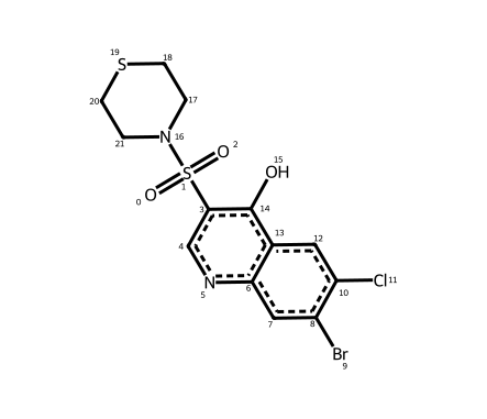 O=S(=O)(c1cnc2cc(Br)c(Cl)cc2c1O)N1CCSCC1